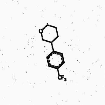 FC(F)(F)c1ccc(C2CC[CH]OC2)cc1